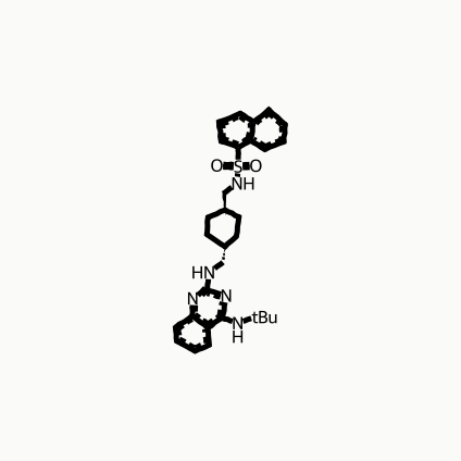 CC(C)(C)Nc1nc(NC[C@H]2CC[C@H](CNS(=O)(=O)c3cccc4ccccc34)CC2)nc2ccccc12